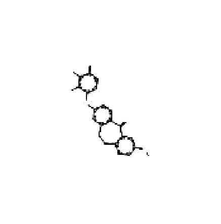 COc1ccc2c(c1)C(=O)c1ccc(Nc3ccc(F)c(F)c3F)cc1CC2